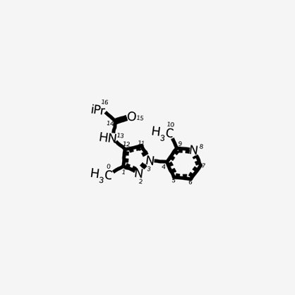 Cc1nn(-c2cccnc2C)cc1NC(=O)C(C)C